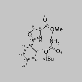 CC(C)(C)OC(N)=O.COC(=O)C1COC(c2ccc(C)cc2)=N1